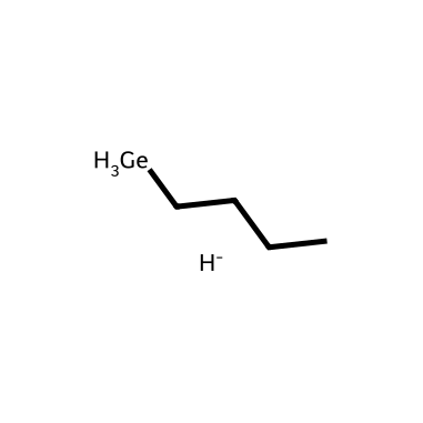 CCC[CH2][GeH3].[H-]